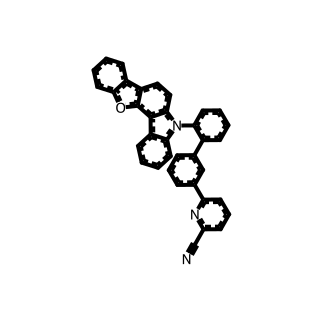 N#Cc1cccc(-c2cccc(-c3ccccc3-n3c4ccccc4c4c5oc6ccccc6c5ccc43)c2)n1